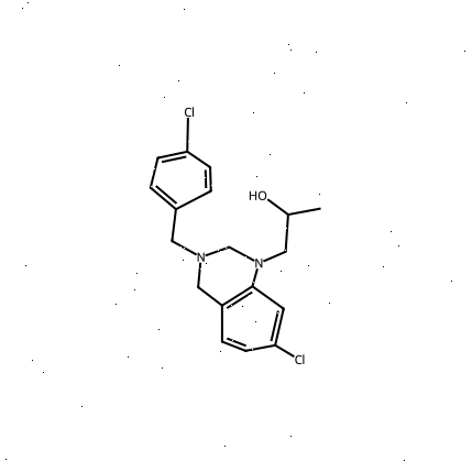 CC(O)CN1CN(Cc2ccc(Cl)cc2)Cc2ccc(Cl)cc21